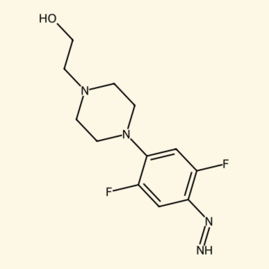 N=Nc1cc(F)c(N2CCN(CCO)CC2)cc1F